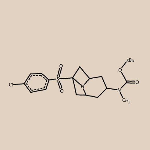 CN(C(=O)OC(C)(C)C)C1CC2CC3(S(=O)(=O)c4ccc(Cl)cc4)CC(C1)N23